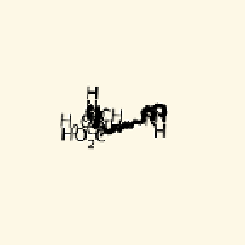 C[C@@H]1CNC[C@H](C)N1C(=O)N[C@@H](CCCCCCCc1ccc2c(n1)NCCC2)C(=O)O